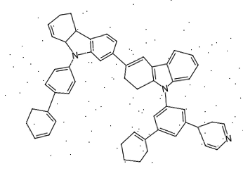 C1=CCCC(c2ccc(N3c4cc(C5=Cc6c(n(-c7cc(C8=CCCCC8)cc(C8C=CN=CC8)c7)c7ccccc67)CC5)ccc4C4CCC=CC43)cc2)=C1